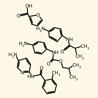 CC(C)C(=O)Nc1ccc(N)cc1.CC(C)COC(=O)Nc1ccc(N)cc1.Cc1ccccc1C(=O)Nc1ccc(N)cn1.O=C(O)c1ccco1